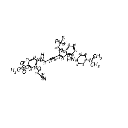 CN(C)[C@H]1CC[C@H](Nc2cccc3c2cc(C#CCNc2ccc(S(C)(=O)=O)cc2OCC#N)n3CC(F)(F)F)CC1